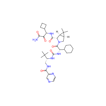 CC(C)(C)[C@@H](CNC(=O)c1cnccn1)NC(=O)N[C@H](C(=O)N1C[C@H]2[C@@H]([C@H]1C(=O)NC(C(=O)C(N)=O)C1CCC1)C2(C)C)C1CCCCC1